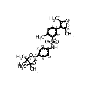 Cc1ccc(-c2c(C)noc2C)cc1S(=O)(=O)Nc1ccc(B2OC(C)(C)C(C)(C)O2)cc1